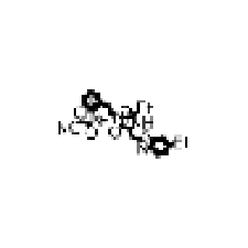 CCC(=O)N[C@@H](Cc1nc2ccc(CC)cc2s1)C(=O)N[C@H](CNC(=O)C(C)C#N)Cc1ccccc1